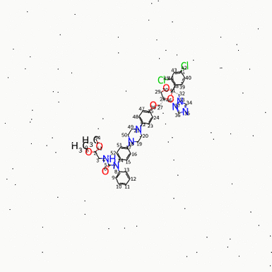 COC(CNC(=O)N(c1ccccc1)c1ccc(N2CCN(c3ccc(OC[C@@H]4CO[C@@](Cn5cncn5)(c5ccc(Cl)cc5Cl)O4)cc3)CC2)cc1)OC